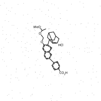 COC(C)OCOc1cc2ccc(-c3ccc(C(=O)O)cc3)cc2cc1C12CC3CC(CC(C3)C1)C2.Cl